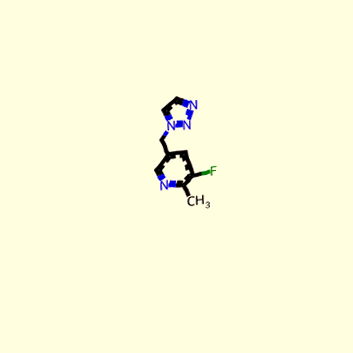 Cc1ncc(Cn2ccnn2)cc1F